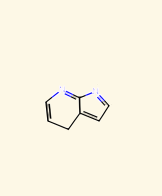 C1=CN=C2N=CC=C2C1